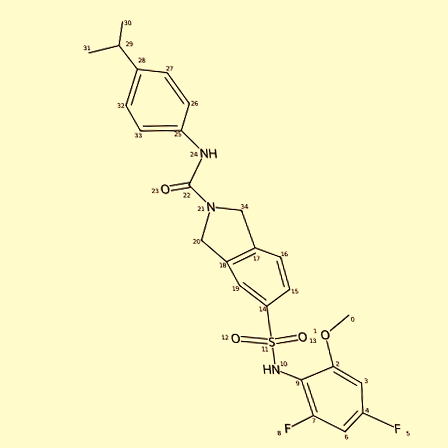 COc1cc(F)cc(F)c1NS(=O)(=O)c1ccc2c(c1)CN(C(=O)Nc1ccc(C(C)C)cc1)C2